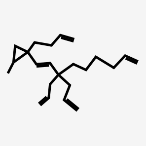 C=CCCCCC(C=CC1(CCC=C)CC1C)(CC=C)CC=C